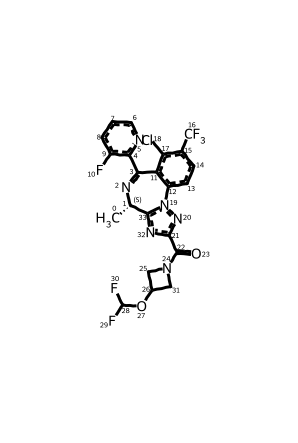 C[C@@H]1N=C(c2ncccc2F)c2c(ccc(C(F)(F)F)c2Cl)-n2nc(C(=O)N3CC(OC(F)F)C3)nc21